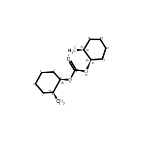 C[C@H]1CCCC[C@H]1OC(=O)O[C@@H]1CCCC[C@@H]1C